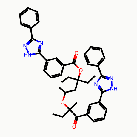 CCC(CC)(CC(C)OC(C)(CC)C(=O)c1cccc(-c2nc(-c3ccccc3)n[nH]2)c1)OC(=O)c1cccc(-c2nc(-c3ccccc3)n[nH]2)c1